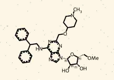 COC[C@H]1O[C@@H](n2cnc3c(NCC(c4ccccc4)c4ccccc4)nc(COC4CCN(C)CC4)nc32)[C@H](O)[C@@H]1O